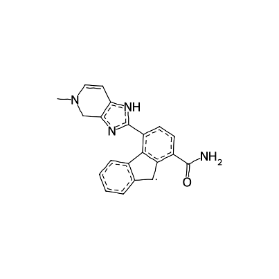 CN1C=Cc2[nH]c(-c3ccc(C(N)=O)c4c3-c3ccccc3[CH]4)nc2C1